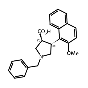 COc1ccc2ccccc2c1[C@@H]1CN(Cc2ccccc2)C[C@H]1C(=O)O